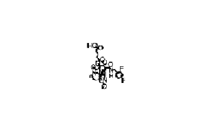 COC1=NO[C@@]2(CC[C@H](C)N3C[C@H]2n2cc(C(=O)NCc4ccc(F)cc4F)c(=O)c(OC(=O)CCCC(=O)O)c2C3=O)C1